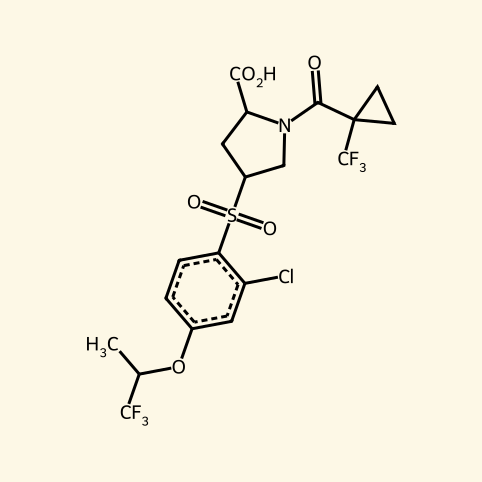 CC(Oc1ccc(S(=O)(=O)C2CC(C(=O)O)N(C(=O)C3(C(F)(F)F)CC3)C2)c(Cl)c1)C(F)(F)F